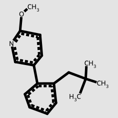 COc1ccc(-c2ccccc2CC(C)(C)C)cn1